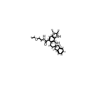 CCOCCNC(=O)c1cc2c(c3c1CCC1(Cc4ccccc4C1)N3)NC(C)N2C